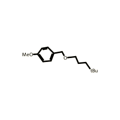 COc1ccc(COCCCC(C)(C)C)cc1